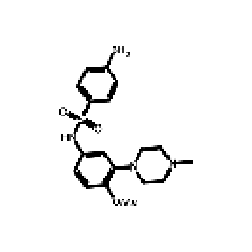 Bc1ccc(S(=O)(=O)Nc2ccc(OC)c(N3CCN(C)CC3)c2)cc1